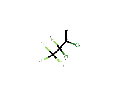 CC(Cl)C(F)(Cl)C(F)(F)F